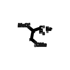 COCC(C)OC.[Eu]